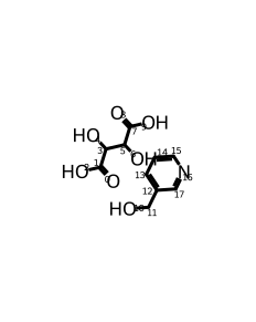 O=C(O)C(O)C(O)C(=O)O.OCc1cccnc1